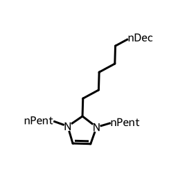 CCCCCCCCCCCCCCCC1N(CCCCC)C=CN1CCCCC